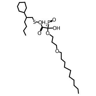 CCCCCCCCCCOCCCOC(O)([PH2]=O)C(=O)OSCC(CCCC)C1CCCCC1